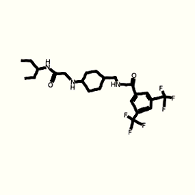 CCC(CC)NC(=O)CNC1CCC(CNC(=O)c2cc(C(F)(F)F)cc(C(F)(F)F)c2)CC1